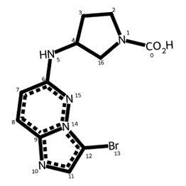 O=C(O)N1CCC(Nc2ccc3ncc(Br)n3n2)C1